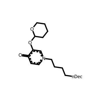 CCCCCCCCCCCCCCn1ccc(=O)c(OC2CCCCO2)c1